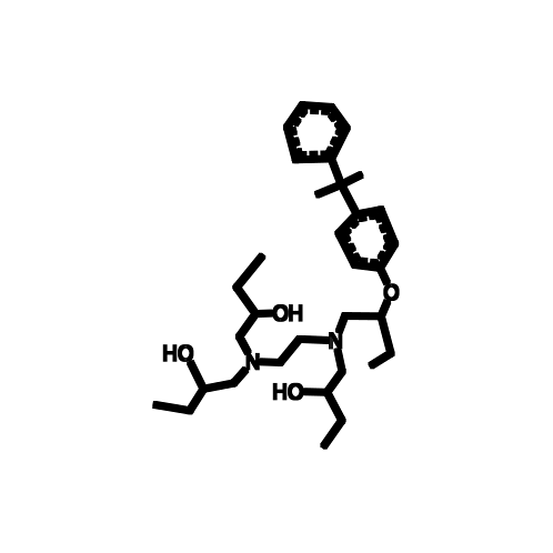 CCC(O)CN(CCN(CC(O)CC)CC(CC)Oc1ccc(C(C)(C)c2ccccc2)cc1)CC(O)CC